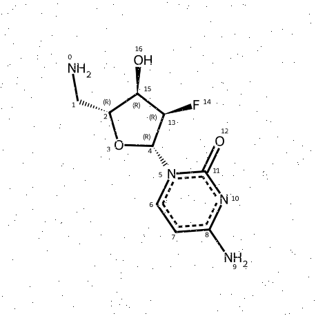 NC[C@H]1O[C@@H](n2ccc(N)nc2=O)[C@H](F)[C@@H]1O